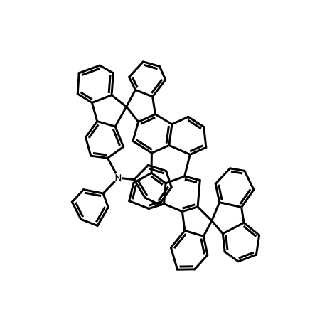 c1ccc(N(c2ccccc2)c2ccc3c(c2)C2(c4ccccc4-3)c3ccccc3-c3c2cc2c4cccc5c6c(cc(c7cccc3c72)c54)C2(c3ccccc3-c3ccccc32)c2ccccc2-6)cc1